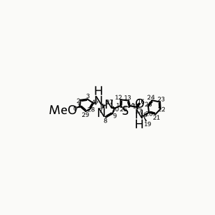 COc1ccc(Nc2nccc(-c3ccc(C(=O)N[C@H](C)c4ccccc4)s3)n2)cc1